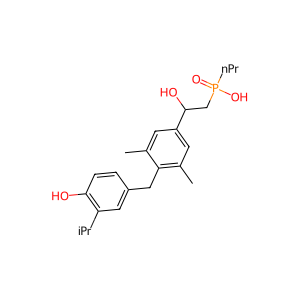 CCCP(=O)(O)CC(O)c1cc(C)c(Cc2ccc(O)c(C(C)C)c2)c(C)c1